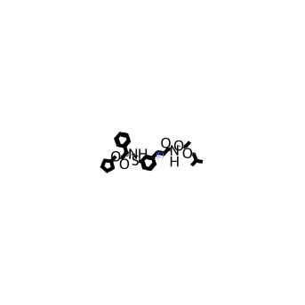 CC(C)COC(C)ONC(=O)/C=C/c1cccc(SN[C@H](C(=O)OC2CCCC2)c2ccccc2)c1